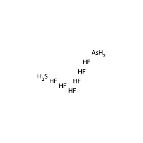 F.F.F.F.F.F.S.[AsH3]